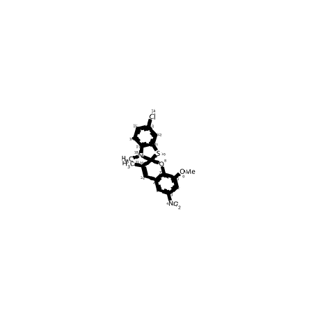 COc1cc([N+](=O)[O-])cc2c1OC1(Sc3cc(Cl)ccc3N1C)C(C)=C2